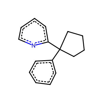 c1ccc(C2(c3ccccn3)CCCC2)cc1